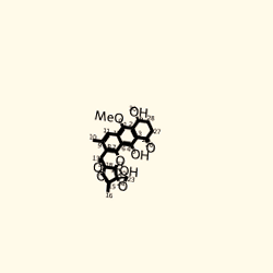 COc1c2c(c(O)c3c4c(c(C)cc13)C1OC3(C)OC1[C@@](O)(O4)[C@@]31CO1)C(=O)CC[C@@H]2O